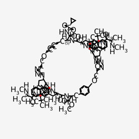 CN[C@@H](C)C(=O)N[C@H](C(=O)N1CCC2[C@H]1C(=O)N[C@@H](Cc1ccc3ccccc3c1)C(=O)N[C@H](C(=O)OC)Cc1ccc(cc1)OCc1cn(nn1)[C@@H]1CCN(C(=O)[C@@H](NC(=O)[C@H](C)NC)C(C)(C)C)[C@@H]1C(=O)N[C@@H](Cc1ccc3ccccc3c1)C(=O)N[C@H](C(=O)NS(=O)(=O)C1CC1)Cc1ccc(cc1)OCc1cn2nn1)C(C)(C)C